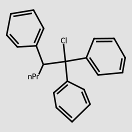 CCCC(c1ccccc1)C(Cl)(c1ccccc1)c1ccccc1